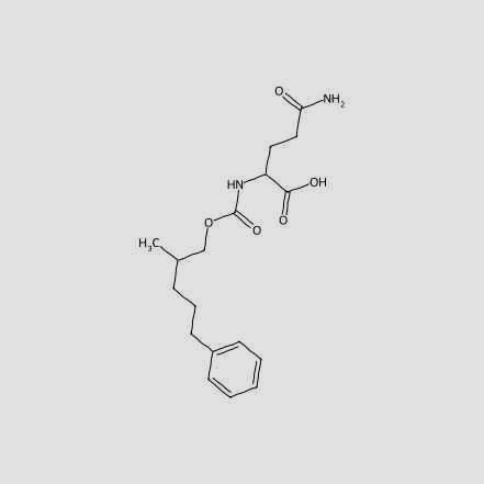 CC(CCCc1ccccc1)COC(=O)NC(CCC(N)=O)C(=O)O